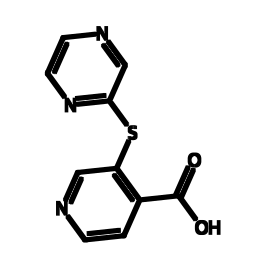 O=C(O)c1ccncc1Sc1cnccn1